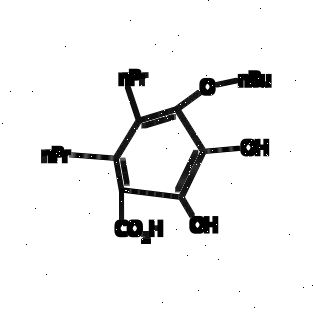 CCCCOc1c(O)c(O)c(C(=O)O)c(CCC)c1CCC